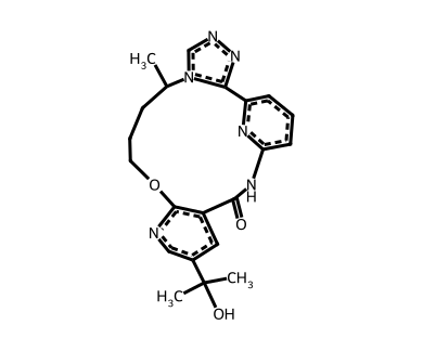 CC1CCCOc2ncc(C(C)(C)O)cc2C(=O)Nc2cccc(n2)-c2nncn21